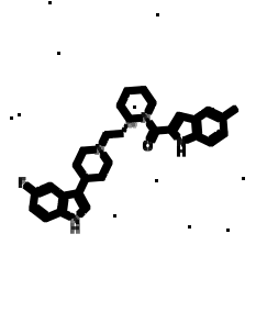 Cc1ccc2[nH]c(C(=O)N3CCCC[C@H]3CCN3CCC(c4c[nH]c5ccc(F)cc45)CC3)cc2c1